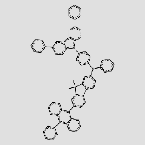 CC1(C)c2cc(-c3c4ccccc4c(-c4ccccc4)c4ccccc34)ccc2-c2ccc(N(c3ccccc3)c3ccc(-n4c5ccc(-c6ccccc6)cc5c5cc(-c6ccccc6)ccc54)cc3)cc21